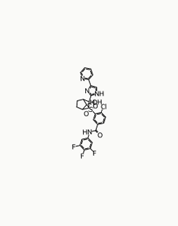 O=C(Nc1cc(F)c(F)c(F)c1)c1ccc(Cl)c(S(=O)(=O)[C@@H]2C3CCC2[C@@](O)(c2nc(-c4ccccn4)c[nH]2)C3)c1